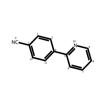 N#Cc1ccc(-c2[c]cccn2)cc1